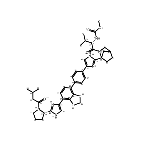 COC(=O)N[C@H](C(=O)N1CC2CCC1(c1nc(-c3ccc(-c4ccc(-c5c[nH]c([C@@H]6CCCN6C(=O)CC(C)C)n5)c5c4OCO5)cc3)c[nH]1)C2)C(C)C